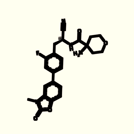 Cn1c(=O)oc2ccc(-c3ccc(C[C@@H](C#N)NC(=O)C4(N)CCOCC4)c(F)c3)cc21